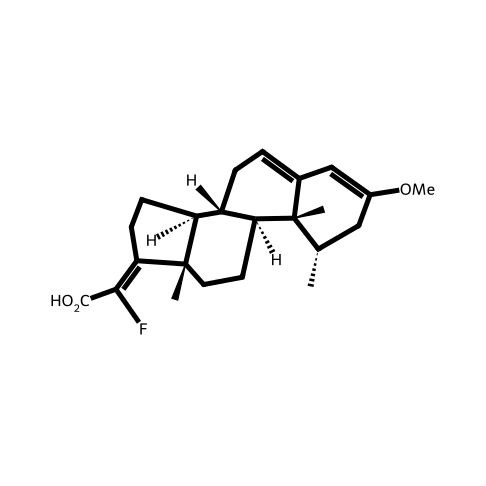 COC1=CC2=CC[C@@H]3[C@H](CC[C@]4(C)C(=C(F)C(=O)O)CC[C@@H]34)[C@@]2(C)[C@@H](C)C1